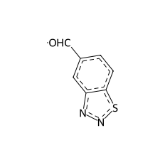 O=[C]c1ccc2snnc2c1